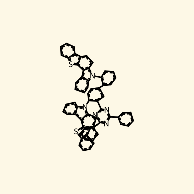 c1ccc(-c2nc(-c3ccccc3)nc(-c3cc(-c4ccccc4-n4c5ccccc5c5c6sc7ccccc7c6ccc54)ccc3-n3c4ccccc4c4c5sc6ccccc6c5ccc43)n2)cc1